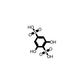 O=S(=O)(O)c1cc(O)c(S(=O)(=O)O)c(O)c1